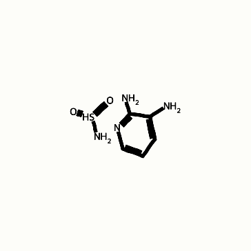 N[SH](=O)=O.Nc1cccnc1N